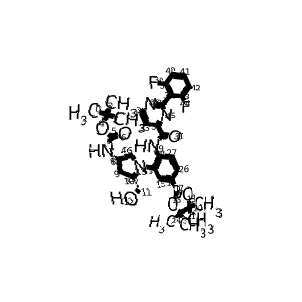 CC(C)(C)OC(=O)N[C@H]1C[C@@H](CO)N(c2cc(B3OC(C)(C)C(C)(C)O3)ccc2NC(=O)c2ccnc(-c3c(F)cccc3F)n2)C1